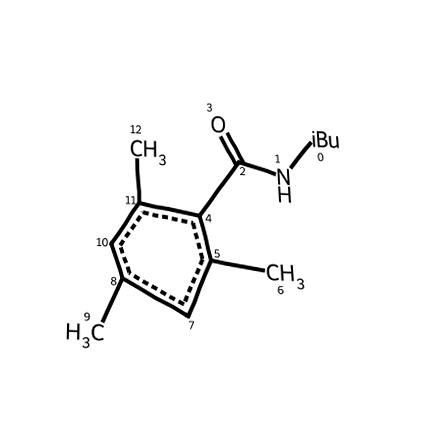 CCC(C)NC(=O)c1c(C)cc(C)cc1C